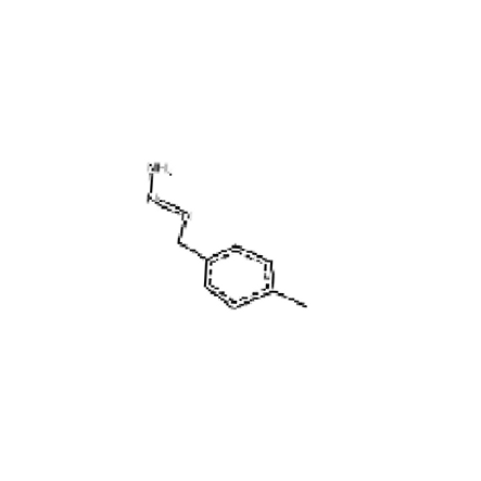 Cc1ccc(CN=NN)cc1